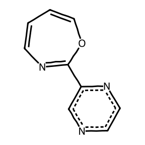 C1=CN=C(c2cnccn2)OC=C1